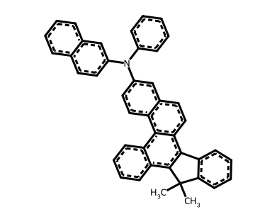 CC1(C)c2ccccc2-c2c1c1ccccc1c1c2ccc2cc(N(c3ccccc3)c3ccc4ccccc4c3)ccc21